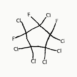 FC1(Cl)C(F)(Cl)C(Cl)(Cl)C(Cl)(Cl)C1(F)Cl